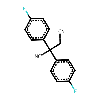 N#CCC(C#N)(c1ccc(F)cc1)c1ccc(F)cc1